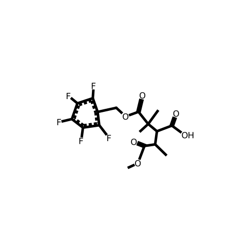 COC(=O)C(C)C(C(=O)O)C(C)(C)C(=O)OCc1c(F)c(F)c(F)c(F)c1F